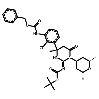 C[C@@H]1CC(N2C(=O)C[C@@](C)(c3cccc(NC(=O)OCc4ccccc4)c3Cl)N/C2=N\C(=O)OC(C)(C)C)C[C@H](C)O1